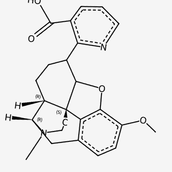 COc1ccc2c3c1OC1C(c4ncccc4C(=O)O)CC[C@H]4[C@@H](C2)N(C)CC[C@]314